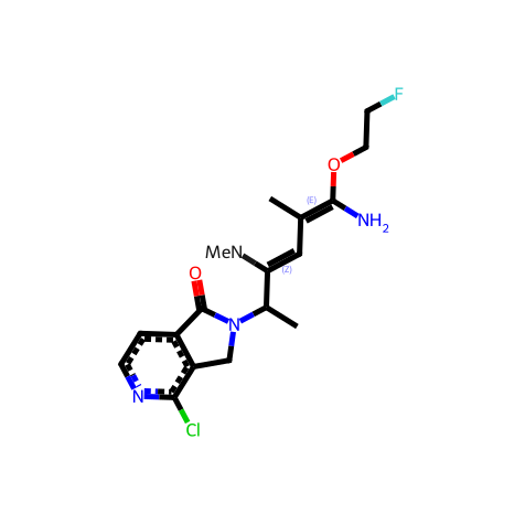 CN/C(=C\C(C)=C(/N)OCCF)C(C)N1Cc2c(ccnc2Cl)C1=O